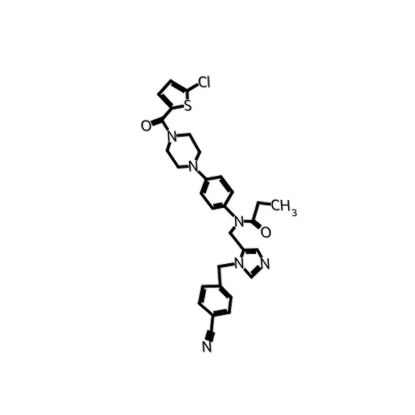 CCC(=O)N(Cc1cncn1Cc1ccc(C#N)cc1)c1ccc(N2CCN(C(=O)c3ccc(Cl)s3)CC2)cc1